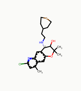 Cc1cc(Cl)nc2cc3c(cc12)OC(C)(C)C(O)[C@H]3NCCC1CCSCC1